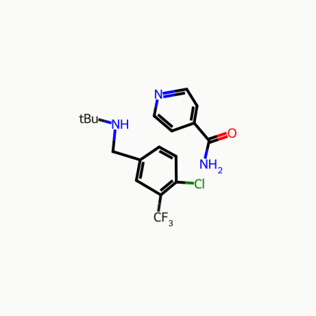 CC(C)(C)NCc1ccc(Cl)c(C(F)(F)F)c1.NC(=O)c1ccncc1